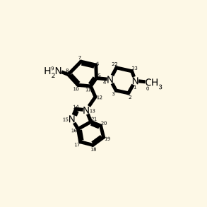 CN1CCN(c2ccc(N)cc2Cn2cnc3ccccc32)CC1